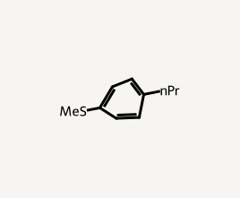 [CH2]CCc1ccc(SC)cc1